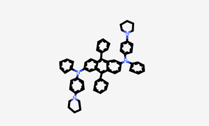 c1ccc(-c2c3ccc(N(c4ccccc4)c4ccc(N5CCCCC5)cc4)cc3c(-c3ccccc3)c3ccc(N(c4ccccc4)c4ccc(N5CCCCC5)cc4)cc23)cc1